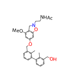 COc1cc(OCc2cccc(-c3cccc(CO)c3C)c2C)cc2c1CN(CCNC(C)=O)O2